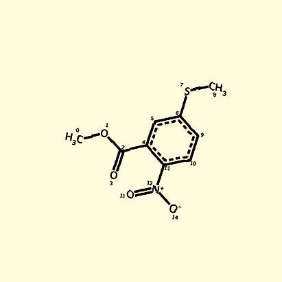 COC(=O)c1cc(SC)ccc1[N+](=O)[O-]